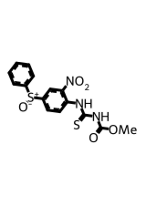 COC(=O)NC(=S)Nc1ccc([S+]([O-])c2ccccc2)cc1[N+](=O)[O-]